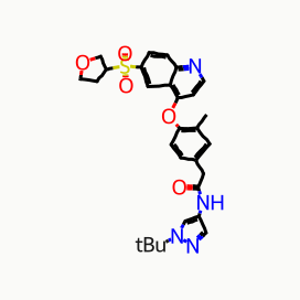 Cc1cc(CC(=O)Nc2cnn(C(C)(C)C)c2)ccc1Oc1ccnc2ccc(S(=O)(=O)C3CCOC3)cc12